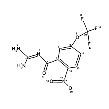 NC(N)=NC(=O)c1cc(OC(F)(F)F)ccc1[N+](=O)[O-]